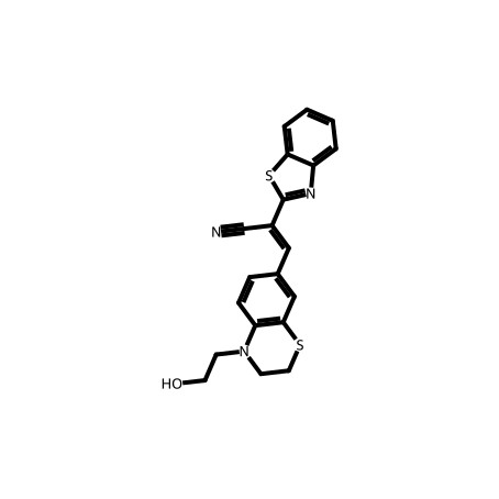 N#C/C(=C\c1ccc2c(c1)SCCN2CCO)c1nc2ccccc2s1